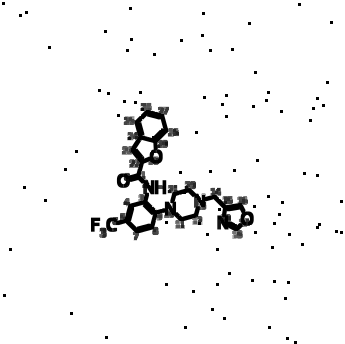 O=C(Nc1cc(C(F)(F)F)ccc1N1CCN(Cc2cocn2)CC1)c1cc2ccccc2o1